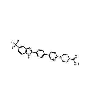 O=C(O)C1CCN(c2ccc(-c3ccc(-c4nc5cc(C(F)(F)F)ccc5[nH]4)cc3)cn2)CC1